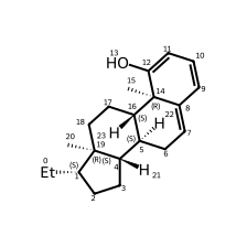 CC[C@H]1CC[C@H]2[C@@H]3CC=C4C=CC=C(O)[C@]4(C)[C@H]3CC[C@]12C